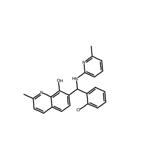 Cc1cccc(NC(c2ccccc2Cl)c2ccc3ccc(C)nc3c2O)n1